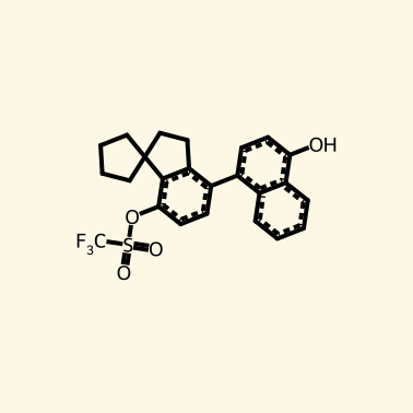 O=S(=O)(Oc1ccc(-c2ccc(O)c3ccccc23)c2c1C1(CCCC1)CC2)C(F)(F)F